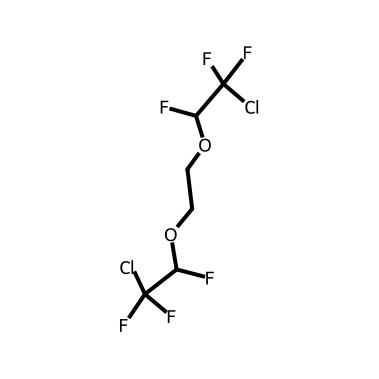 FC(OCCOC(F)C(F)(F)Cl)C(F)(F)Cl